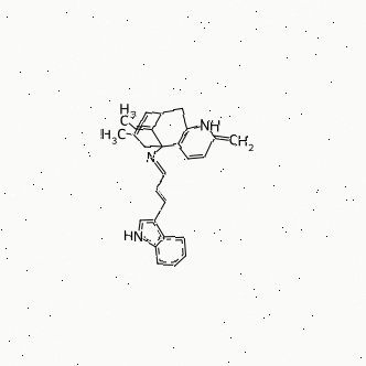 C=C1C=CC2=C(CC3C=C(C)CC2(/N=C/C=C/c2c[nH]c4ccccc24)/C3=C/C)N1